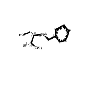 CC[C@@H](O)[C@H](CO)NCc1ccccc1